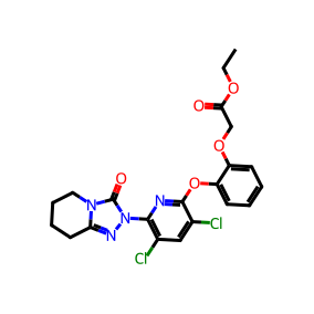 CCOC(=O)COc1ccccc1Oc1nc(-n2nc3n(c2=O)CCCC3)c(Cl)cc1Cl